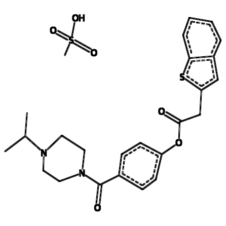 CC(C)N1CCN(C(=O)c2ccc(OC(=O)Cc3cc4ccccc4s3)cc2)CC1.CS(=O)(=O)O